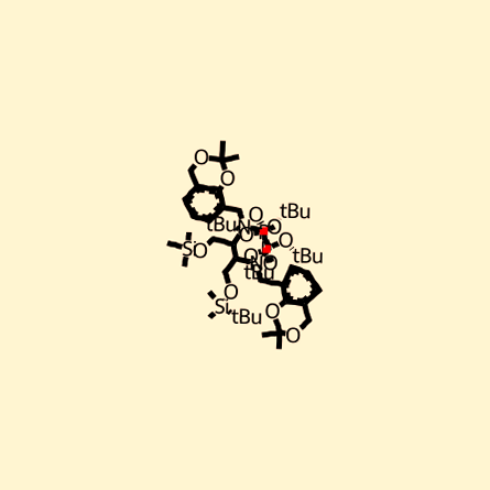 CC(C)(C)OP(=O)(CN(Cc1cccc2c1OC(C)(C)OC2)C(CO[Si](C)(C)C)C(CO[Si](C)(C)C(C)(C)C)N(Cc1cccc2c1OC(C)(C)OC2)CP(=O)(OC(C)(C)C)OC(C)(C)C)OC(C)(C)C